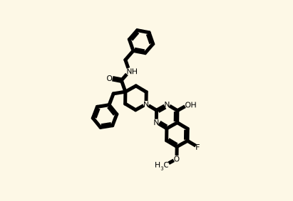 COc1cc2nc(N3CCC(Cc4ccccc4)(C(=O)NCc4ccccc4)CC3)nc(O)c2cc1F